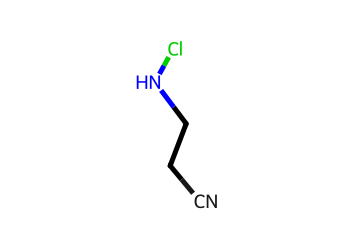 N#CCCNCl